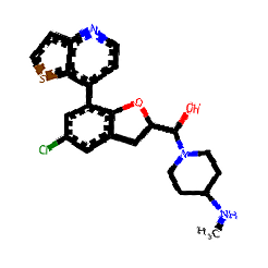 CNC1CCN(C(O)C2Cc3cc(Cl)cc(-c4ccnc5ccsc45)c3O2)CC1